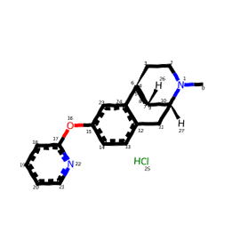 CN1CC[C@]23CCCC[C@H]2[C@H]1Cc1ccc(Oc2ccccn2)cc13.Cl